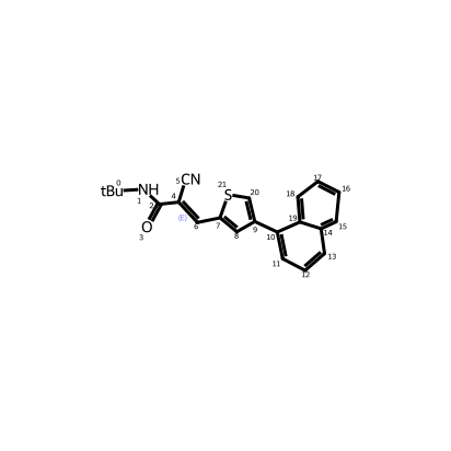 CC(C)(C)NC(=O)/C(C#N)=C/c1cc(-c2cccc3ccccc23)cs1